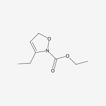 CCOC(=O)N1OCC=C1CC